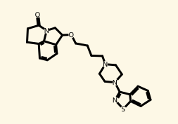 O=C1CCc2cccc3c2N1CC3OCCCCN1CCN(c2nsc3ccccc23)CC1